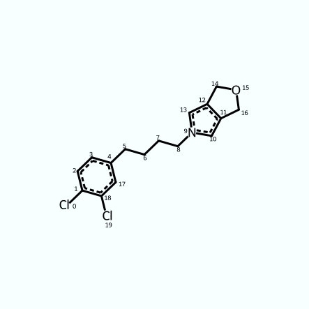 Clc1ccc(CCCCn2cc3c(c2)COC3)cc1Cl